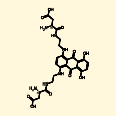 N[C@@H](CC(=O)O)C(=O)NCCNc1ccc(NCCNC(=O)[C@@H](N)CC(=O)O)c2c1C(=O)c1c(O)ccc(O)c1C2=O